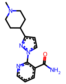 CN1CCC(c2ccn(-c3ncccc3C(N)=O)n2)CC1